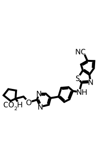 N#Cc1ccc2nc(Nc3ccc(-c4cnc(OCC5(C(=O)O)CCCC5)nc4)cc3)sc2c1